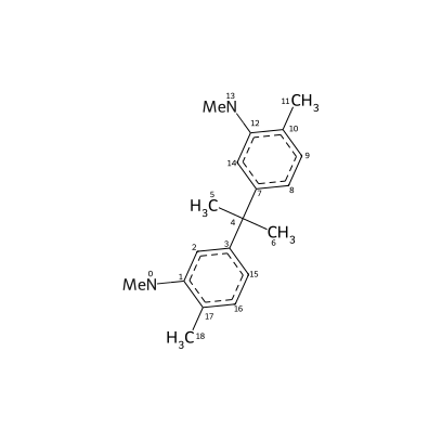 CNc1cc(C(C)(C)c2ccc(C)c(NC)c2)ccc1C